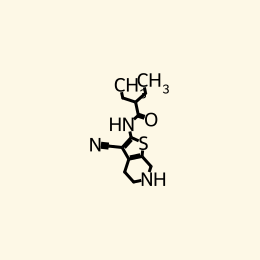 CCC(CC)C(=O)Nc1sc2c(c1C#N)CCNC2